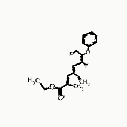 C=CC(=C\C(F)=C(/CF)Oc1ccccc1)/C=C(\C)C(=O)OCC